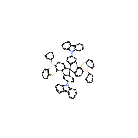 c1ccc(B2c3ccccc3Sc3c2ccc2c3-c3cc(-n4c5ccccc5c5ccccc54)ccc3C23c2ccc(-n4c5ccccc5c5ccccc54)cc2-c2c3ccc3c2Sc2ccccc2B3c2ccccc2)cc1